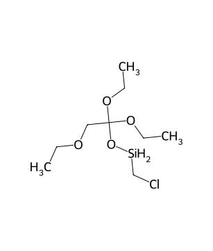 CCOCC(OCC)(OCC)O[SiH2]CCl